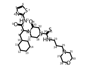 O=C(Nc1nccs1)C(CC1CCCCC1)N1CCN(C(=S)NCCCN2CCOCC2)CC1=O